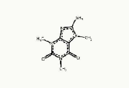 Cn1c(=O)c2c(nc([SiH3])n2C)n(C)c1=O